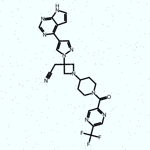 N#CCC1(n2cc(-c3ncnc4[nH]ccc34)cn2)CN(C2CCN(C(=O)c3cnc(C(F)(F)F)cn3)CC2)C1